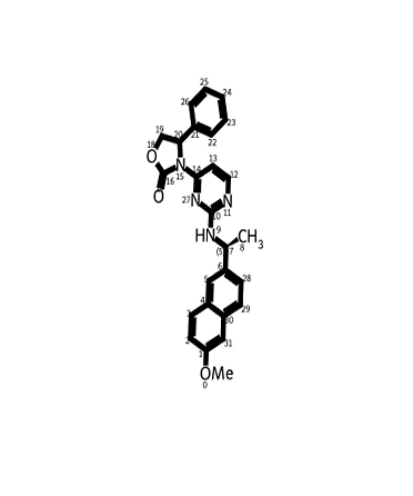 COc1ccc2cc([C@H](C)Nc3nccc(N4C(=O)OCC4c4ccccc4)n3)ccc2c1